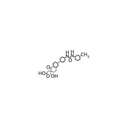 Cc1cccc(NC(=O)Nc2ccc(-c3ccc4c(c3)CCC(CO)(CC(=O)O)C4=O)cc2)c1